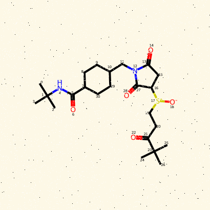 CC(C)(C)NC(=O)C1CCC(CN2C(=O)CC([S+]([O-])CCC(=O)C(C)(C)C)C2=O)CC1